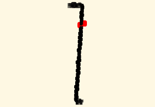 CCCCCCCC/C=C\CCCCCCCC(=O)OCCCCCCCCCCCCCCCCCCCCCCCCCCCCCCCCCCCCC(C)C